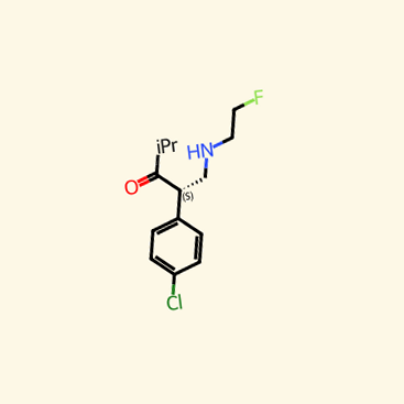 CC(C)C(=O)[C@H](CNCCF)c1ccc(Cl)cc1